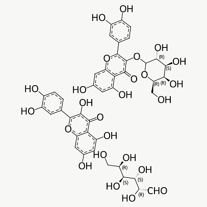 O=C[C@H](O)[C@@H](O)[C@@H](O)[C@H](O)CO.O=c1c(O)c(-c2ccc(O)c(O)c2)oc2cc(O)cc(O)c12.O=c1c(OC2O[C@H](CO)[C@H](O)[C@H](O)[C@H]2O)c(-c2ccc(O)c(O)c2)oc2cc(O)cc(O)c12